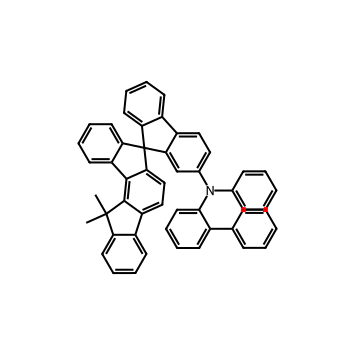 CC1(C)c2ccccc2-c2ccc3c(c21)-c1ccccc1C31c2ccccc2-c2ccc(N(c3ccccc3)c3ccccc3-c3ccccc3)cc21